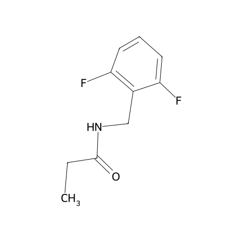 CCC(=O)NCc1c(F)cccc1F